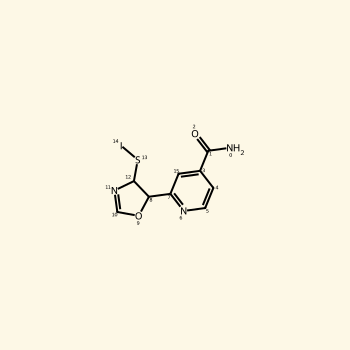 NC(=O)c1ccnc(C2OC=NC2SI)c1